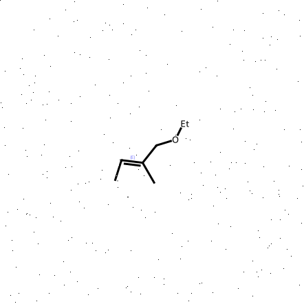 [CH2]/C=C(\C)COCC